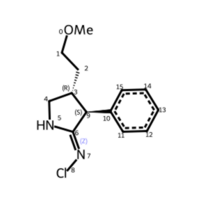 COCC[C@H]1CN/C(=N\Cl)[C@@H]1c1ccccc1